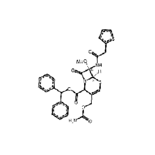 CO[C@@]1(NC(=O)Cc2cccs2)C(=O)N2C(C(=O)OC(c3ccccc3)c3ccccc3)C(COC(N)=O)=CS[C@@H]21